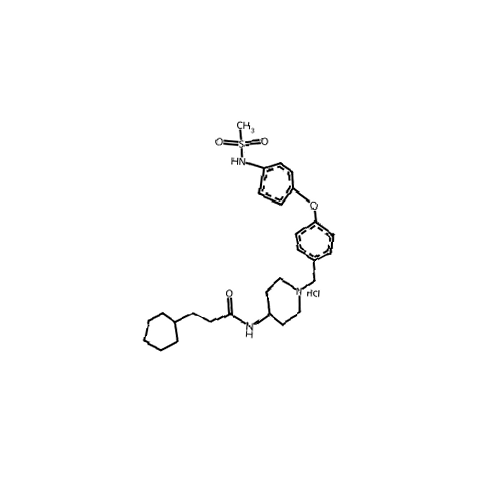 CS(=O)(=O)Nc1ccc(Oc2ccc(CN3CCC(NC(=O)CCC4CCCCC4)CC3)cc2)cc1.Cl